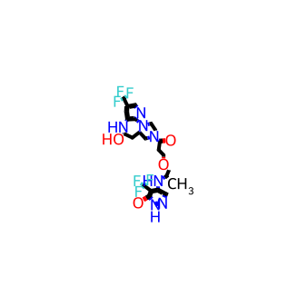 CC(COCCC(=O)N1CCN2c3ncc(C(F)(F)F)cc3NC(O)CC2C1)Nc1cn[nH]c(=O)c1C(F)(F)F